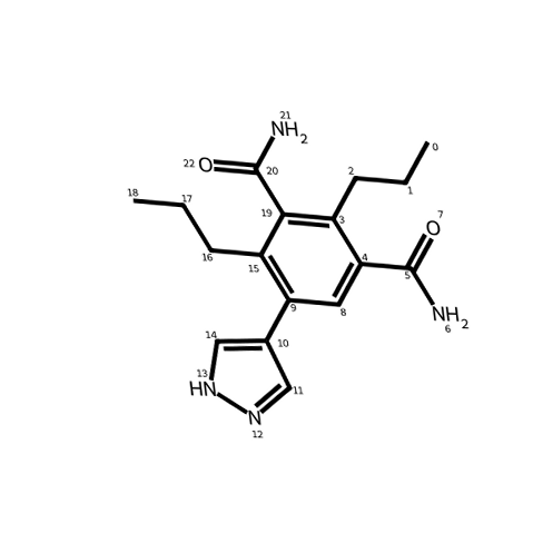 CCCc1c(C(N)=O)cc(-c2cn[nH]c2)c(CCC)c1C(N)=O